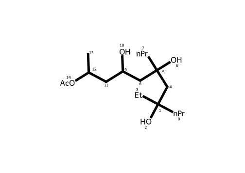 CCCC(O)(CC)CC(O)(CCC)CC(O)CC(C)OC(C)=O